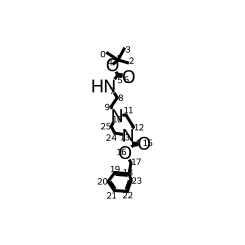 CC(C)(C)OC(=O)NCCN1CCN(C(=O)OCc2ccccc2)CC1